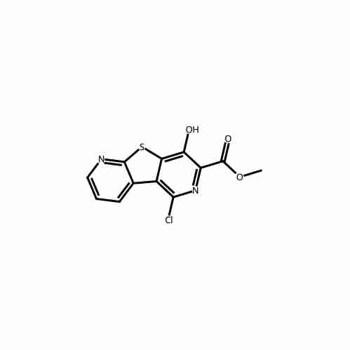 COC(=O)c1nc(Cl)c2c(sc3ncccc32)c1O